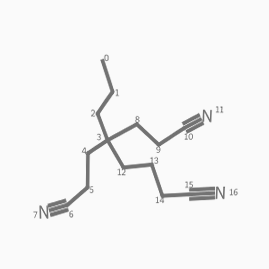 CCCC(CCC#N)(CCC#N)CCCC#N